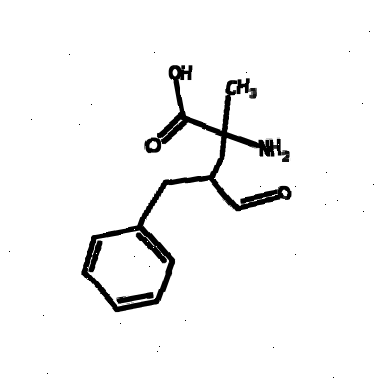 CC(N)(C(=O)O)C(C=O)Cc1ccccc1